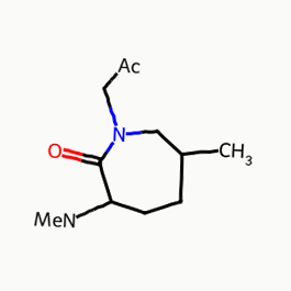 CNC1CCC(C)CN(CC(C)=O)C1=O